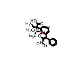 CCC(C(=O)O)(c1cccc2c(-c3ccccc3)c([N+](=O)[O-])oc12)[N+](C)(C)C.[I-]